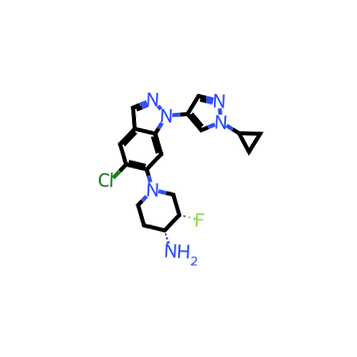 N[C@@H]1CCN(c2cc3c(cnn3-c3cnn(C4CC4)c3)cc2Cl)C[C@@H]1F